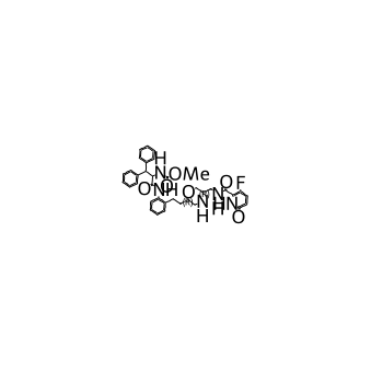 COC(=O)NC(C(=O)Nc1ccccc1CC[C@@H]1CN[C@H](CNC(=O)c2[nH]c(=O)ccc2F)CO1)C(c1ccccc1)c1ccccc1